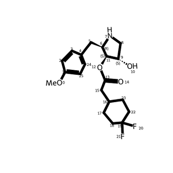 COc1ccc(C[C@H]2NC[C@H](O)[C@H]2OC(=O)CC2CCC(F)(F)CC2)cc1